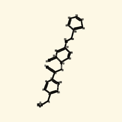 BCc1ccc(C(=O)Cn2ccc(OCc3ccccc3)cc2=O)nc1